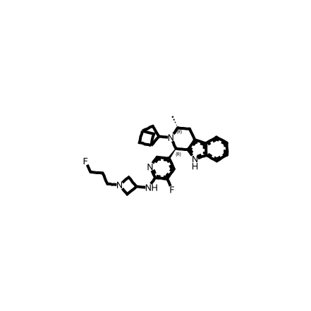 C[C@@H]1Cc2c([nH]c3ccccc23)[C@@H](c2cnc(NC3CN(CCCF)C3)c(F)c2)N1C1CC2CC1C2